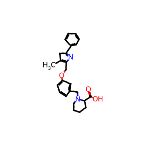 CC1=C(COc2cccc(CN3CCCCC3C(=O)O)c2)N=C(c2ccccc2)C1